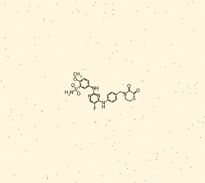 COc1ccc(Nc2ncc(F)c(Nc3ccc(CN4CCSC(=O)C4=O)cc3)n2)cc1S(N)(=O)=O